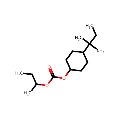 CCC(C)OC(=O)OC1CCC(C(C)(C)CC)CC1